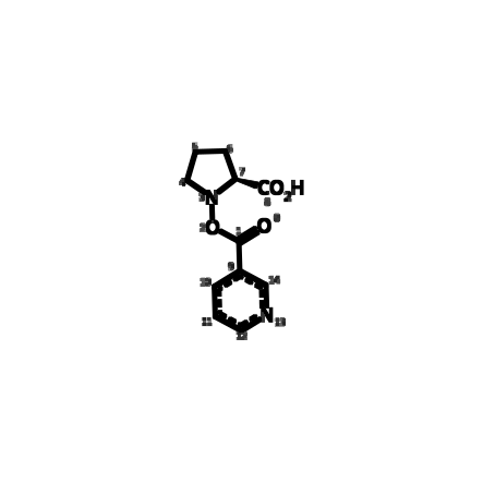 O=C(ON1CCC[C@H]1C(=O)O)c1cccnc1